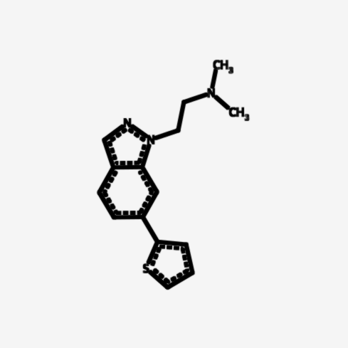 CN(C)CCn1ncc2ccc(-c3cccs3)cc21